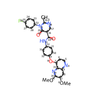 COc1cc2nccc(Oc3ccc(NC(=O)c4cnc(C)n(-c5ccc(F)cc5)c4=O)cc3)c2nc1OC